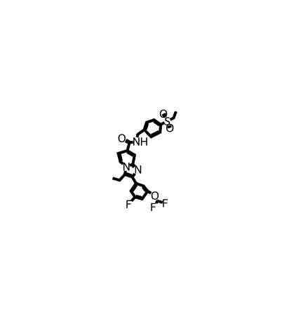 CCc1c(-c2cc(F)cc(OC(F)F)c2)nc2cc(C(=O)NCc3ccc(S(=O)(=O)CC)cc3)ccn12